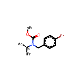 CCCCOC(=O)N(Cc1ccc(Br)cc1)[C@H](C(C)=O)C(C)C